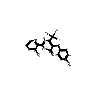 O=c1[nH]c(-c2ncccc2Cl)nc(C(F)(F)F)c1Cc1ccc(Cl)cc1